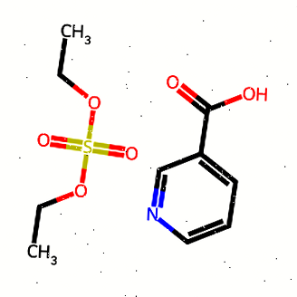 CCOS(=O)(=O)OCC.O=C(O)c1cccnc1